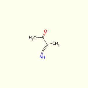 CC(=O)C(C)=C=N